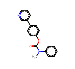 CN(C(=O)Oc1ccc(-c2cccnc2)cc1)c1ccccc1